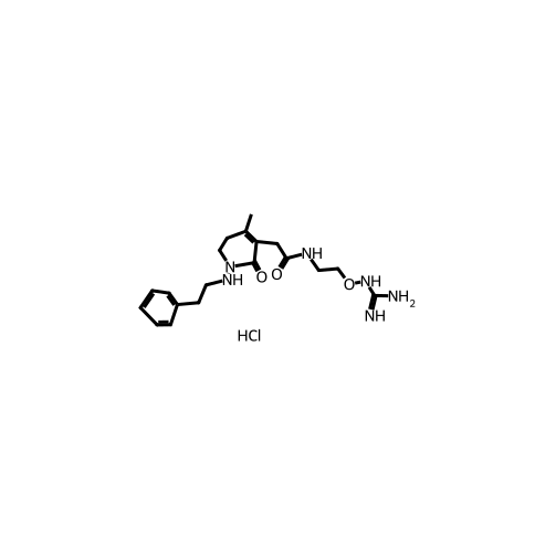 CC1=C(CC(=O)NCCONC(=N)N)C(=O)N(NCCc2ccccc2)CC1.Cl